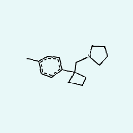 Cc1ccc(C2(CN3CCCC3)CCC2)cc1